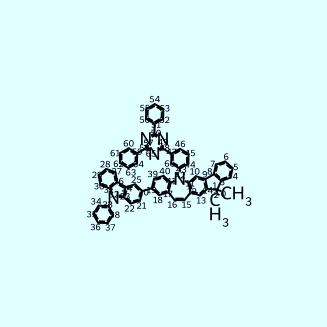 CC1(C)c2ccccc2-c2cc3c(cc21)C=Cc1cc(-c2ccc4c(c2)c2ccccc2n4-c2ccccc2)ccc1N3c1cccc(-c2nc(-c3ccccc3)nc(-c3ccccc3)n2)c1